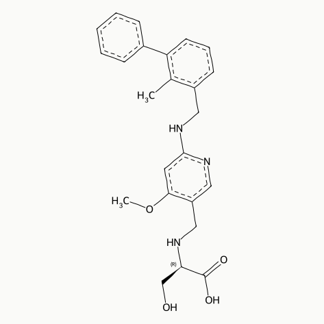 COc1cc(NCc2cccc(-c3ccccc3)c2C)ncc1CN[C@H](CO)C(=O)O